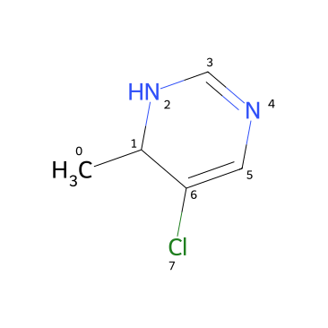 CC1NC=NC=C1Cl